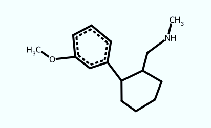 CNCC1CCCCC1c1cccc(OC)c1